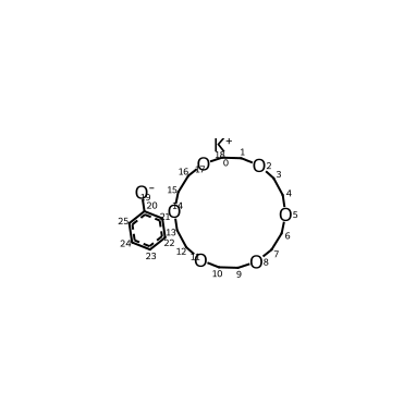 C1COCCOCCOCCOCCOCCO1.[K+].[O-]c1ccccc1